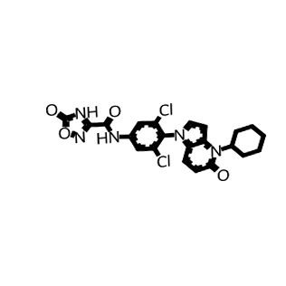 O=C(Nc1cc(Cl)c(-n2ccc3c2ccc(=O)n3C2CCCCC2)c(Cl)c1)c1noc(=O)[nH]1